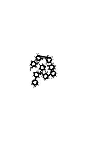 Fc1cccc(N2c3cc(N(c4cccc(-c5ccccc5)c4)c4cccc(-c5ccccc5)c4)cc(c3)N(c3ccccc3)c3cccc4c3oc3c2cccc34)c1